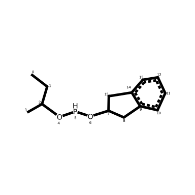 CCC(C)OPOC1Cc2ccccc2C1